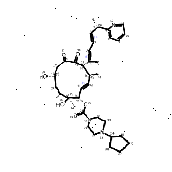 C/C(=C\C=C\[C@H](C)c1ccccn1)[C@H]1C(=O)C(=O)C[C@@H](O)CC[C@](C)(O)[C@@H](OC(=O)N2CCN(C3CCCC3)CC2)/C=C/[C@@H]1C